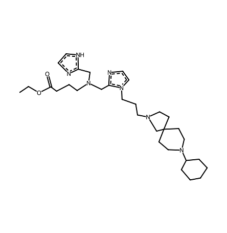 CCOC(=O)CCCN(Cc1ncc[nH]1)Cc1nccn1CCCN1CCC2(CCN(C3CCCCC3)CC2)C1